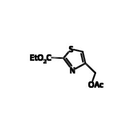 CCOC(=O)c1nc(COC(C)=O)cs1